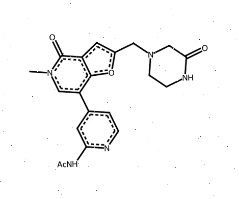 CC(=O)Nc1cc(-c2cn(C)c(=O)c3cc(CN4CCNC(=O)C4)oc23)ccn1